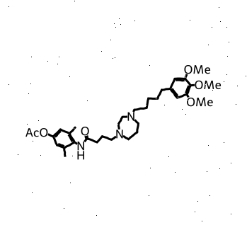 COc1cc(CCCCCN2CCCN(CCCC(=O)Nc3c(C)cc(OC(C)=O)cc3C)CC2)cc(OC)c1OC